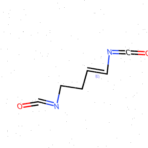 O=C=N/C=C/CCN=C=O